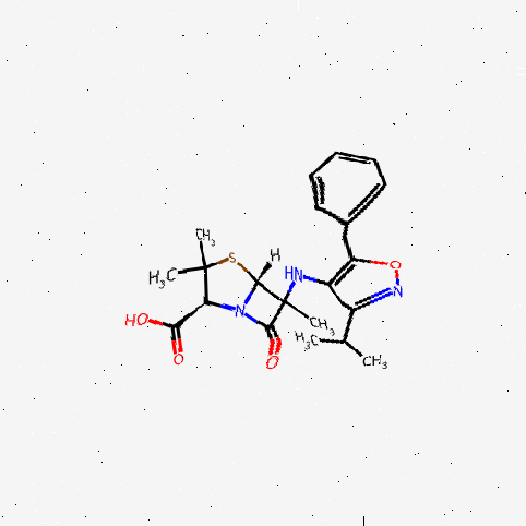 CC(C)c1noc(-c2ccccc2)c1NC1(C)C(=O)N2[C@@H](C(=O)O)C(C)(C)S[C@@H]21